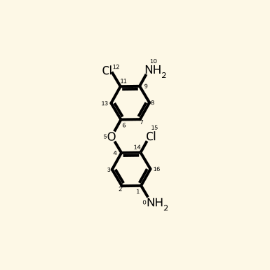 Nc1ccc(Oc2ccc(N)c(Cl)c2)c(Cl)c1